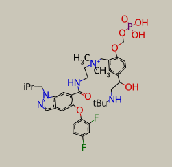 CC(C)Cn1ncc2cc(Oc3ccc(F)cc3F)c(C(=O)NCC[N+](C)(C)Cc3cc(C(O)CNC(C)(C)C)ccc3OCOP(=O)(O)O)cc21